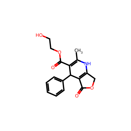 CC1=C(C(=O)OCCO)C(c2ccccc2)C2=C(COC2=O)N1